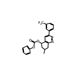 CC1Cc2nnc(-c3cccc(C(F)(F)F)c3)cc2C(OC(=O)Oc2ccccc2)C1